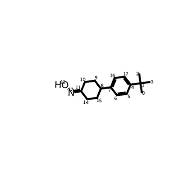 CC(C)(C)c1ccc(C2CCC(=NO)CC2)cc1